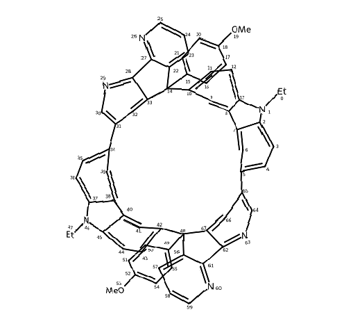 CCn1c2ccc3cc2c2cc(ccc21)C1(c2ccc(OC)cc2)c2cccnc2-c2ncc(cc21)-c1ccc2c(c1)c1cc(ccc1n2CC)C1(c2ccc(OC)cc2)c2cccnc2-c2ncc-3cc21